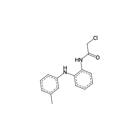 Cc1cccc(Nc2ccccc2NC(=O)CCl)c1